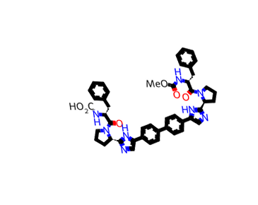 COC(=O)N[C@H](Cc1ccccc1)C(=O)N1CCC[C@H]1c1ncc(-c2ccc(-c3ccc(-c4cnc([C@@H]5CCCN5C(=O)[C@@H](Cc5ccccc5)NC(=O)O)[nH]4)cc3)cc2)[nH]1